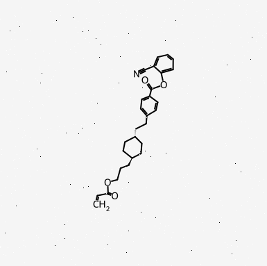 C=CC(=O)OCCC[C@H]1CC[C@H](CCc2ccc(C(=O)Oc3ccccc3C#N)cc2)CC1